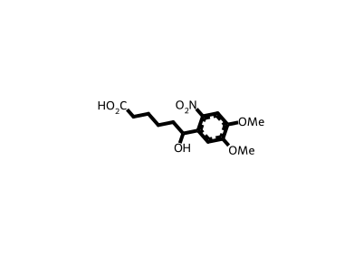 COc1cc(C(O)CCCCC(=O)O)c([N+](=O)[O-])cc1OC